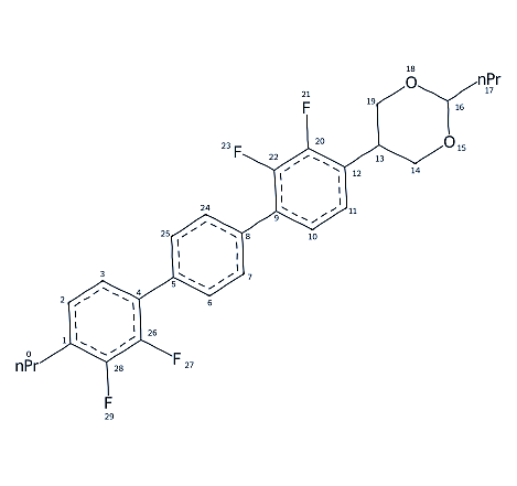 CCCc1ccc(-c2ccc(-c3ccc(C4COC(CCC)OC4)c(F)c3F)cc2)c(F)c1F